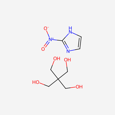 O=[N+]([O-])c1ncc[nH]1.OCC(CO)(CO)CO